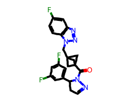 O=C(N1N=CCC1c1cc(F)cc(F)c1)C12CC(Cn3nnc4cc(F)ccc43)(C1)C2